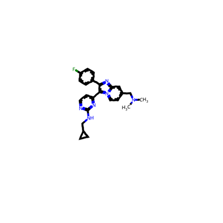 CN(C)Cc1ccn2c(-c3ccnc(NCC4CC4)n3)c(-c3ccc(F)cc3)nc2c1